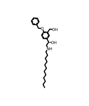 CCCCCCCCCCCCNC[C@H](O)c1ccc(OCc2ccccc2)c(CO)c1